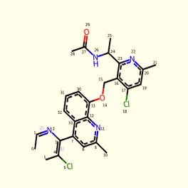 C/C=N\C(=C(/C)Cl)c1cc(C)nc2c(OCc3c(Cl)cc(C)nc3C(C)NC(C)=O)cccc12